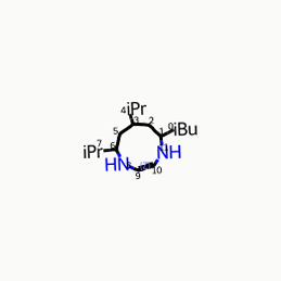 CCC(C)C1CC(C(C)C)CC(C(C)C)N/C=C\N1